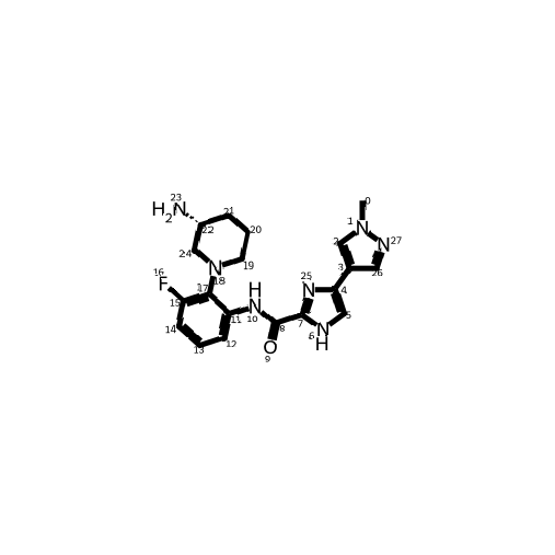 Cn1cc(-c2c[nH]c(C(=O)Nc3cccc(F)c3N3CCC[C@@H](N)C3)n2)cn1